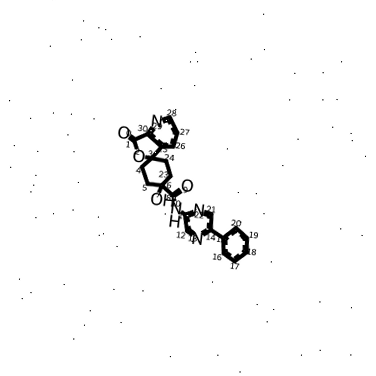 O=C1OC2(CCC(O)(C(=O)Nc3cnc(-c4ccccc4)cn3)CC2)c2cccnc21